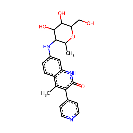 Cc1c(-c2ccncc2)c(=O)[nH]c2cc(NC3C(C)OC(CO)C(O)C3O)ccc12